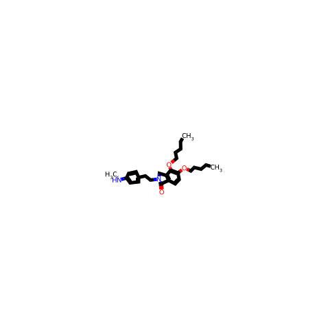 CCCCCOc1ccc2c(c1OCCCCC)CN(CCc1ccc(NC)cc1)C2=O